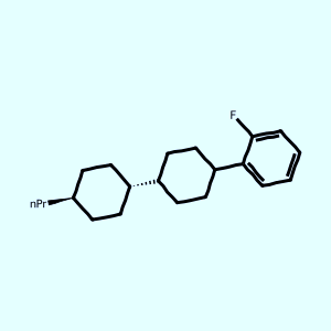 CCC[C@H]1CC[C@H](C2CCC(c3ccccc3F)CC2)CC1